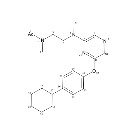 CC(=O)N(C)CCN(C)c1cncc(Oc2ccc(C3CCCCC3)cc2)n1